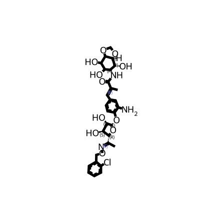 C/C(=C\c1ccc(O[C@@H]2O[C@H](/C(C)=N/OCc3ccccc3Cl)[C@@H](O)[C@H]2O)c(N)c1)C(=O)N[C@@H]1C(O)C(O)C2OCO[C@H]2[C@@H]1O